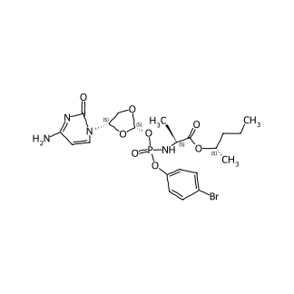 CCC[C@H](C)OC(=O)[C@H](C)NP(=O)(Oc1ccc(Br)cc1)O[C@H]1OC[C@@H](n2ccc(N)nc2=O)O1